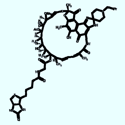 CO[C@H]1/C=C/O[C@@]2(C)Oc3c(C)c(O)c4c(c3C2=O)C2=NC3(CCN(CC(C)C)CC3)NC2=C(NC(=O)/C(C)=C\C=C\[C@H](C)[C@H](OC(=O)CNC(=O)CCCCC2SCC3NC(=O)NC32)[C@@H](C)[C@@H](O)[C@@H](C)[C@H](OC(C)=O)[C@@H]1C)C4=O